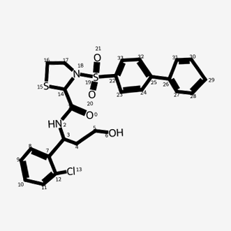 O=C(NC(CCO)c1ccccc1Cl)C1SCCN1S(=O)(=O)c1ccc(-c2ccccc2)cc1